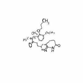 CCCOc1c(OC)cccc1[C@@H](C)N(C)C(=O)C=Cc1cnc2c(c1)CCC(=O)N2